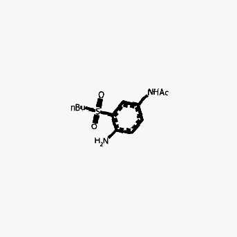 CCCCS(=O)(=O)c1cc(NC(C)=O)ccc1N